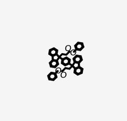 O=C(CCC1(c2ccc(C3(CCC(=O)Oc4ccccc4)c4ccccc4-c4ccccc43)cc2)c2ccccc2-c2ccccc21)Oc1ccccc1